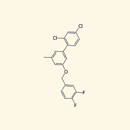 Cc1[c]c(-c2ccc(Cl)cc2Cl)cc(OCc2ccc(F)c(F)c2)c1